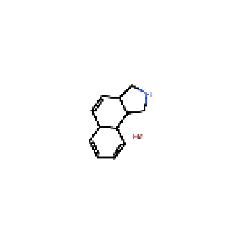 Br.C1=CC2C=CC3CNCC3C2C=C1